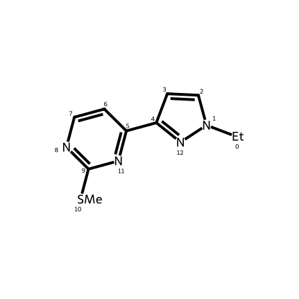 CCn1ccc(-c2ccnc(SC)n2)n1